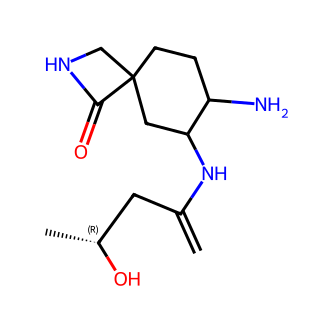 C=C(C[C@@H](C)O)NC1CC2(CCC1N)CNC2=O